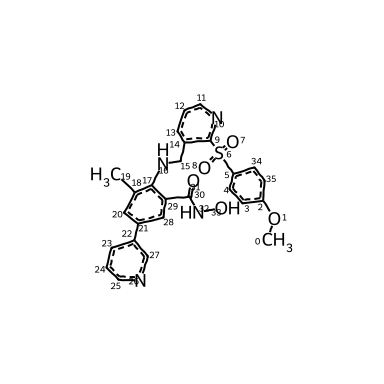 COc1ccc(S(=O)(=O)c2ncccc2CNc2c(C)cc(-c3cccnc3)cc2C(=O)NO)cc1